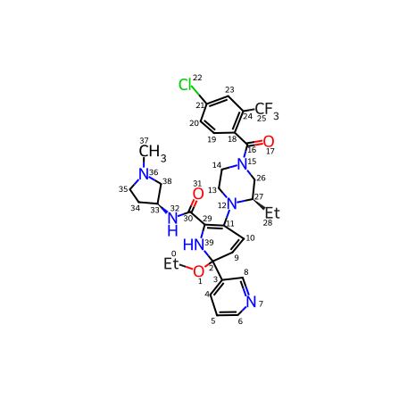 CCOC1(c2cccnc2)C=CC(N2CCN(C(=O)c3ccc(Cl)cc3C(F)(F)F)C[C@H]2CC)=C(C(=O)N[C@H]2CCN(C)C2)N1